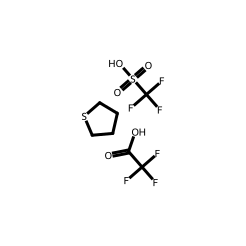 C1CCSC1.O=C(O)C(F)(F)F.O=S(=O)(O)C(F)(F)F